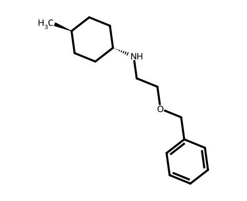 C[C@H]1CC[C@H](NCCOCc2ccccc2)CC1